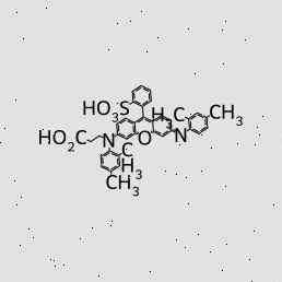 Cc1ccc(/N=c2\ccc3c(-c4ccccc4S(=O)(=O)O)c4ccc(N(CCC(=O)O)c5ccc(C)cc5C)cc4oc-3c2)c(C)c1